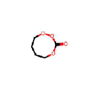 O=C1OCCCCOO1